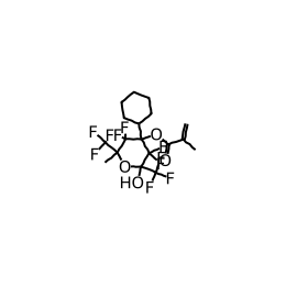 C=C(C)C(=O)OC1(C2CCCCC2)C(F)(F)C(C)(C(F)(F)F)OC(O)(C(F)(F)F)C1(F)F